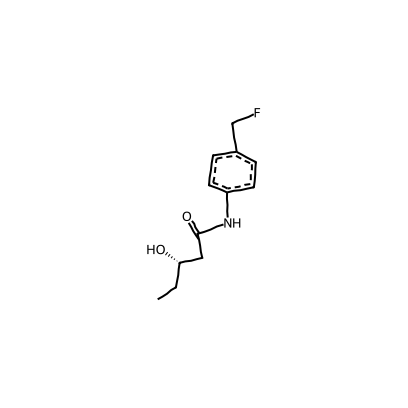 CC[C@H](O)CC(=O)Nc1ccc(CF)cc1